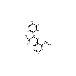 COc1ccccc1C[C](c1ccccc1)C(C)C